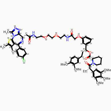 CC[C@H](C(=O)N1CCCC[C@H]1C(=O)O[C@H](CCc1ccc(OC)c(OC)c1)c1cccc(OCC(=O)NCCOCCOCCNC(=O)C[C@@H]2N=C(c3ccc(Cl)cc3)c3c(sc(C)c3C)-n3c(C)nnc32)c1)c1cc(OC)c(OC)c(OC)c1